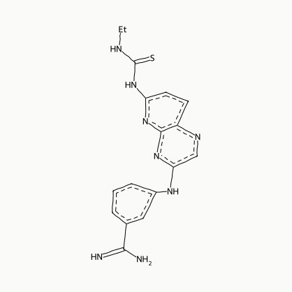 CCNC(=S)Nc1ccc2ncc(Nc3cccc(C(=N)N)c3)nc2n1